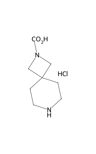 Cl.O=C(O)N1CC2(CCNCC2)C1